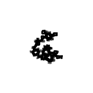 CCn1cncc1Cn1c(CN2CCC(Cc3cnc(COc4ccc(Cl)cc4Cl)o3)CC2)nc2ccc(C(=O)O)nc21